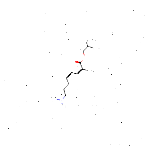 CCCCCCC(CCCC)COC(=O)/C(C#N)=C\C=C/CCCN(C)C